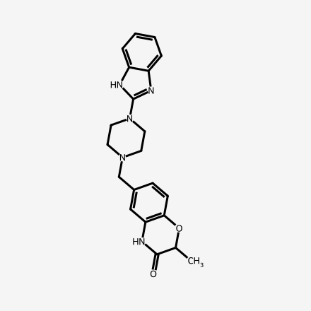 CC1Oc2ccc(CN3CCN(c4nc5ccccc5[nH]4)CC3)cc2NC1=O